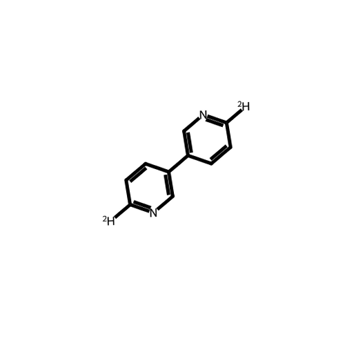 [2H]c1ccc(-c2ccc([2H])nc2)cn1